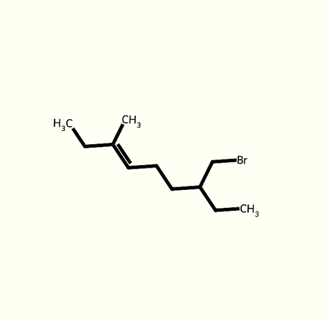 CC/C(C)=C/CCC(CC)CBr